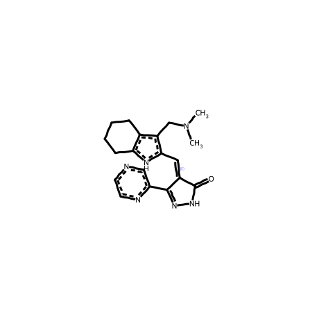 CN(C)Cc1c(/C=C2/C(=O)NN=C2c2cnccn2)[nH]c2c1CCCC2